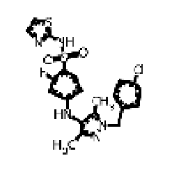 Cc1nn(Cc2ccc(Cl)cc2)c(C)c1Nc1ccc(S(=O)(=O)Nc2nccs2)c(F)c1